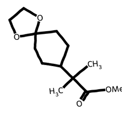 COC(=O)C(C)(C)C1CCC2(CC1)OCCO2